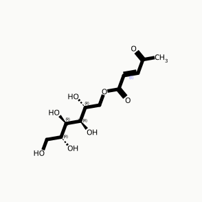 CC(=O)/C=C/C(=O)OC[C@@H](O)[C@@H](O)[C@H](O)[C@H](O)CO